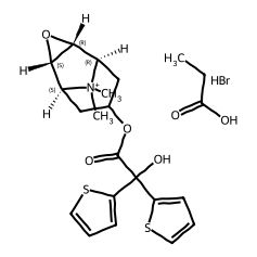 Br.CCC(=O)O.C[N+]1(C)[C@@H]2CC(OC(=O)C(O)(c3cccs3)c3cccs3)C[C@H]1[C@@H]1O[C@@H]12